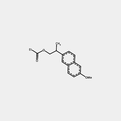 CCC(=O)OCC(C)c1ccc2cc(OC)ccc2c1